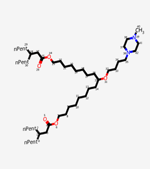 CCCCCC(CCCCC)CC(=O)OCCCCCCCCC(CCCCCCCCOC(=O)CC(CCCCC)CCCCC)OCCCCN1CCN(C)CC1